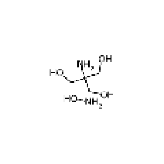 NC(CO)(CO)CO.NO